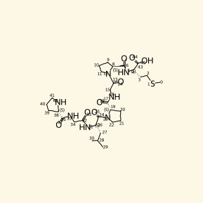 CSCC[C@H](NC(=O)[C@@H]1CCCN1C(=O)CNC(=O)[C@@H]1CCCN1C(=O)[C@H](CC(C)C)NC(=O)CNC(=O)[C@@H]1CCCN1)C(=O)O